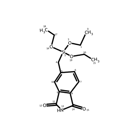 CCO[Si](Cc1ccc2c(c1)C(=O)NC2=O)(OCC)OCC